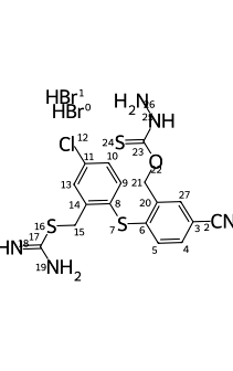 Br.Br.N#Cc1ccc(Sc2ccc(Cl)cc2CSC(=N)N)c(COC(=S)NN)c1